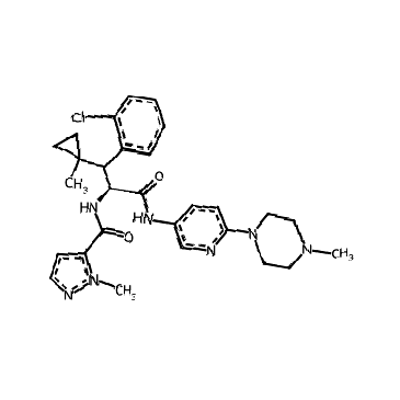 CN1CCN(c2ccc(NC(=O)[C@@H](NC(=O)c3ccnn3C)C(c3ccccc3Cl)C3(C)CC3)cn2)CC1